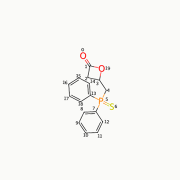 O=C1CC(CP(=S)(c2ccccc2)c2ccccc2)O1